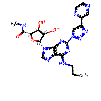 CCCNc1nc(-n2cc(-c3cnccn3)nn2)nc2c1ncn2[C@@H]1O[C@H](C(=O)NC)[C@@H](O)[C@H]1O